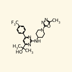 Cc1nnc(N2CCC(Nc3nc(-c4ccc(C(F)(F)F)cc4)cc(C(C)(C)O)n3)CC2)o1